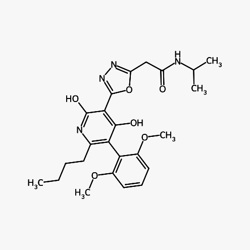 CCCCc1nc(O)c(-c2nnc(CC(=O)NC(C)C)o2)c(O)c1-c1c(OC)cccc1OC